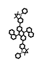 CC12CC1(C)N(c1ccccc1)c1ccc(-c3ccc4c(-c5cccc6ccccc56)c5cc(-c6ccc7c(c6)C6(C)CC6(C)N7c6ccccc6)ccc5c(-c5cccc6ccccc56)c4c3)cc12